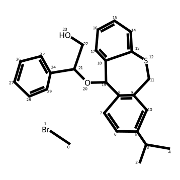 CBr.CC(C)c1ccc2c(c1)CSc1ccccc1C2OC(CO)c1ccccc1